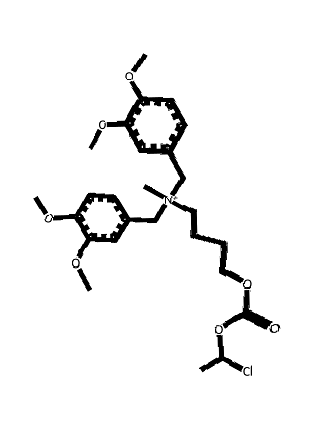 COc1ccc(C[N+](C)(CCCCOC(=O)OC(C)Cl)Cc2ccc(OC)c(OC)c2)cc1OC